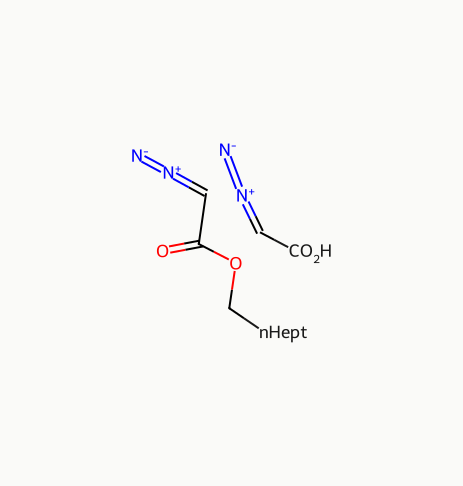 CCCCCCCCOC(=O)C=[N+]=[N-].[N-]=[N+]=CC(=O)O